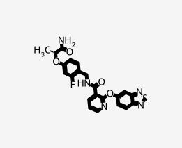 C[C@@H](Oc1ccc(CNC(=O)c2cccnc2Oc2ccc3nsnc3c2)c(F)c1)C(N)=O